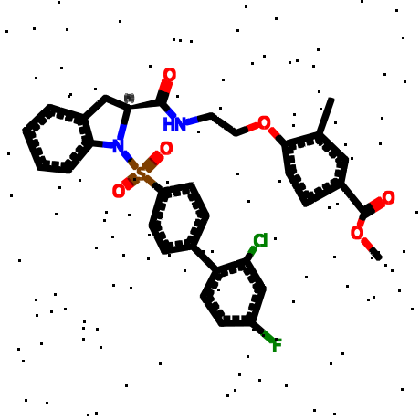 COC(=O)c1ccc(OCCNC(=O)[C@@H]2Cc3ccccc3N2S(=O)(=O)c2ccc(-c3ccc(F)cc3Cl)cc2)c(C)c1